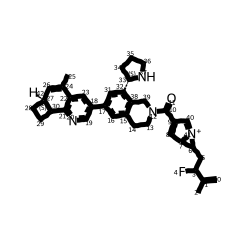 C=C(C)C(F)CC1C2C=C(C(=O)N3CCc4cc(-c5cnc6c(c5)C(C)=C[C@@H]5CCC65)cc([C@@H]5CCCN5)c4C3)C=[N+]21